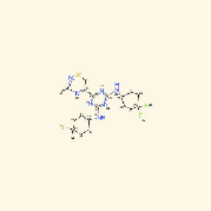 CC1=NSCC(c2nc(NC3CCC(C)(F)CC3)nc(NC3CCC(F)(F)CC3)n2)=N1